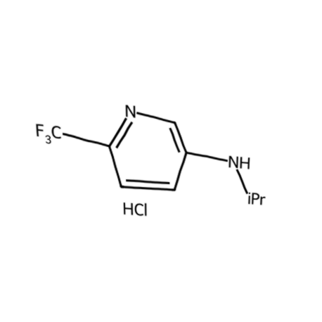 CC(C)Nc1ccc(C(F)(F)F)nc1.Cl